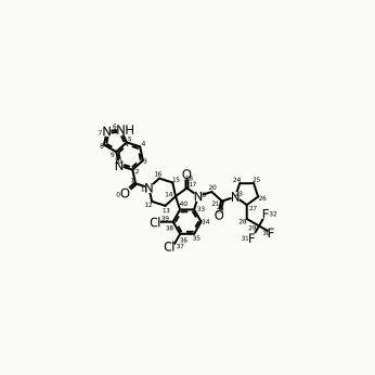 O=C(c1ccc2[nH]ncc2n1)N1CCC2(CC1)C(=O)N(CC(=O)N1CCCC1CC(F)(F)F)c1ccc(Cl)c(Cl)c12